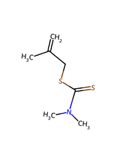 C=C(C)CSC(=S)N(C)C